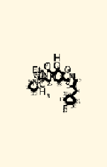 CCN1C(=O)c2c(O)c(=O)c(-c3ncc(Cc4ccc(F)cc4)s3)cn2C[C@@]1(C)C(=O)N1CCCC1